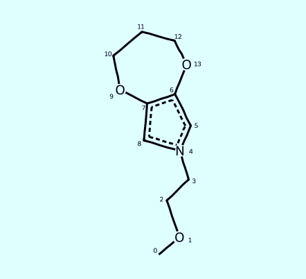 COCCn1cc2c(c1)OCCCO2